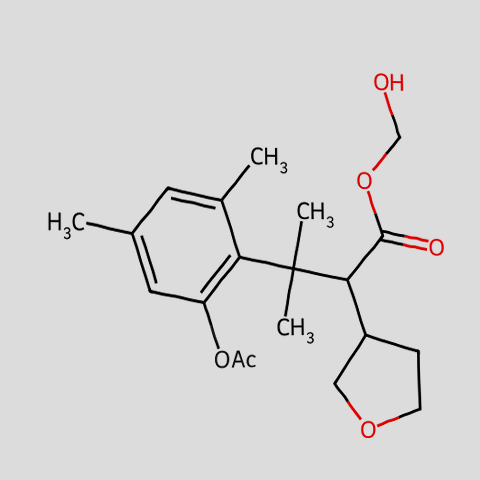 CC(=O)Oc1cc(C)cc(C)c1C(C)(C)C(C(=O)OCO)C1CCOC1